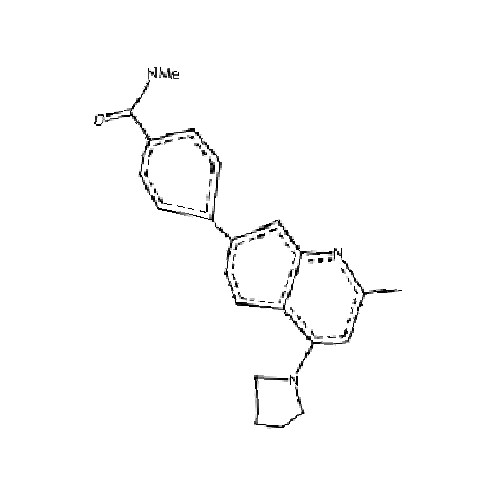 CNC(=O)c1ccc(-c2ccc3c(N4CCCC4)cc(C)nc3c2)cc1